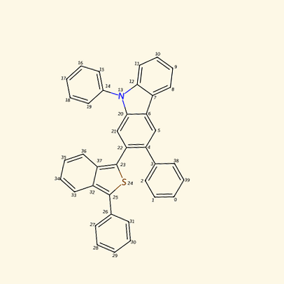 c1ccc(-c2cc3c4ccccc4n(-c4ccccc4)c3cc2-c2sc(-c3ccccc3)c3ccccc23)cc1